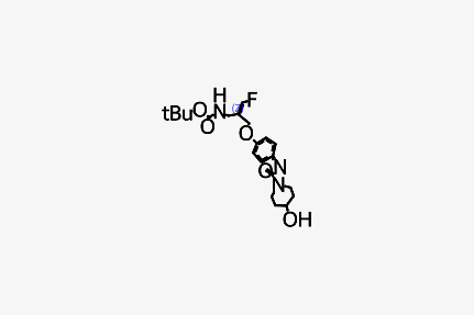 CC(C)(C)OC(=O)NC/C(=C/F)COc1ccc2nc(N3CCC(O)CC3)oc2c1